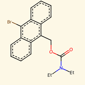 CCN(CC)C(=O)OCc1c2ccccc2c(Br)c2ccccc12